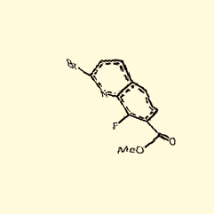 COC(=O)c1ccc2ccc(Br)nc2c1F